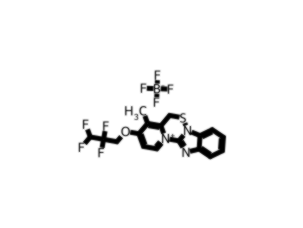 Cc1c(OCC(F)(F)C(F)F)cc[n+]2c1CSn1c-2nc2ccccc21.F[B-](F)(F)F